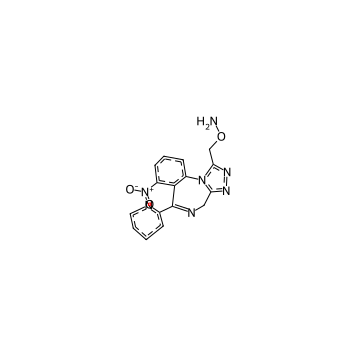 NOCc1nnc2n1-c1cccc([N+](=O)[O-])c1C(c1ccccn1)=NC2